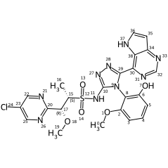 COc1cccc(O)c1-n1c(NS(=O)(=O)[C@@H](C)[C@H](OC)c2ncc(Cl)cn2)nnc1-c1ncnc2cc[nH]c12